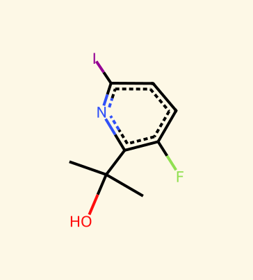 CC(C)(O)c1nc(I)ccc1F